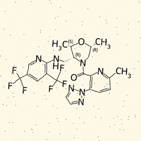 Cc1ccc(-n2nccn2)c(C(=O)N2C[C@@H](C)O[C@@H](C)[C@H]2CNc2ncc(C(F)(F)F)cc2C(F)(F)F)n1